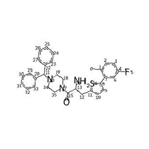 Cc1ccc(F)cc1-c1ccc(CC(N)C(=O)N2CCN(C(c3ccccc3)c3ccccc3)CC2)s1